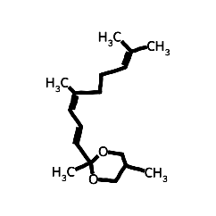 CC(C)=CCCC(C)=CC=CC1(C)OCC(C)CO1